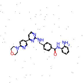 Nc1ccccc1NC(=O)c1ccc(CNc2nccc(-c3ccc(N4CCOCC4)nc3)n2)cc1